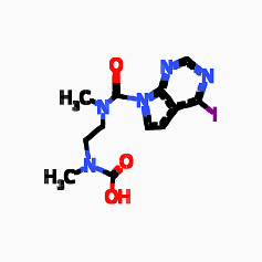 CN(CCN(C)C(=O)n1ccc2c(I)ncnc21)C(=O)O